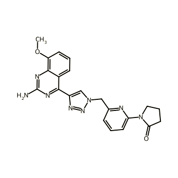 COc1cccc2c(-c3cn(Cc4cccc(N5CCCC5=O)n4)nn3)nc(N)nc12